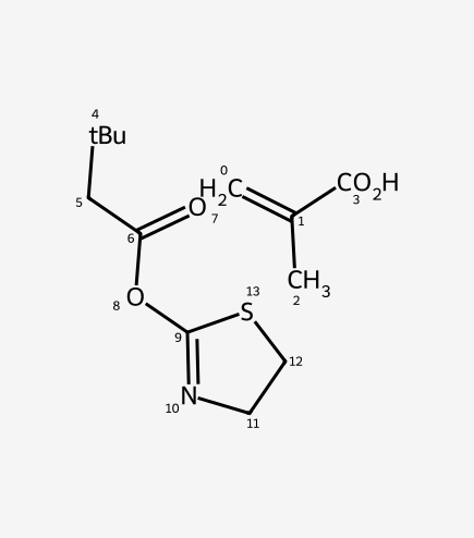 C=C(C)C(=O)O.CC(C)(C)CC(=O)OC1=NCCS1